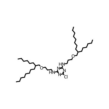 CCCCCCCCC(CCCCCC)COCCCNc1nc(Cl)nc(NCCCOCC(CCCCCC)CCCCCCCC)n1